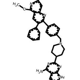 COc1nccc2nc(-c3ccc(CN4CCC(c5nc(N)c6cn[nH]c6n5)CC4)cc3)c(-c3ccccc3)cc12